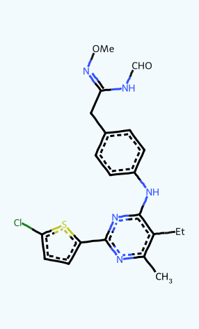 CCc1c(C)nc(-c2ccc(Cl)s2)nc1Nc1ccc(C/C(=N/OC)NC=O)cc1